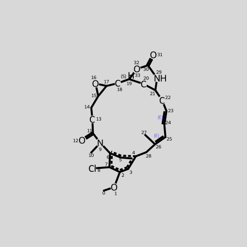 COc1cc2cc(c1Cl)N(C)C(=O)CCC1OC1C[C@@H]1CC(C/C=C/C=C(\C)C2)NC(=O)O1